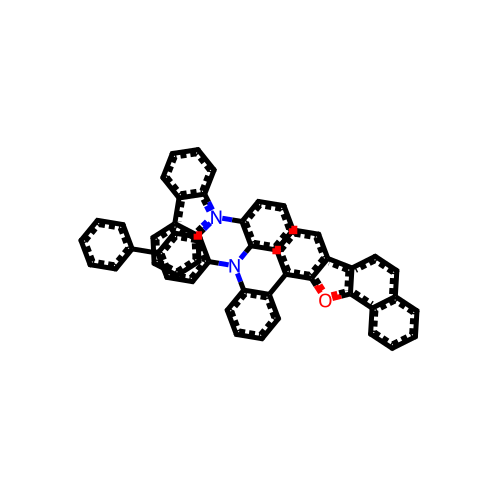 c1ccc(-c2ccc(N(c3ccccc3-c3cccc4c3oc3c5ccccc5ccc43)c3ccccc3-n3c4ccccc4c4ccccc43)cc2)cc1